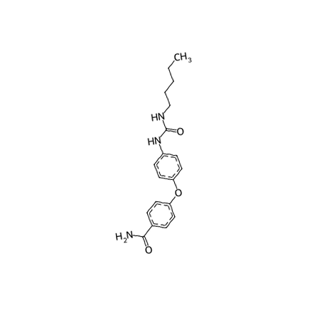 CCCCCNC(=O)Nc1ccc(Oc2ccc(C(N)=O)cc2)cc1